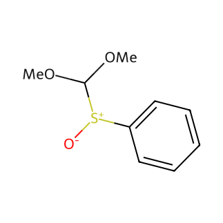 COC(OC)[S+]([O-])c1ccccc1